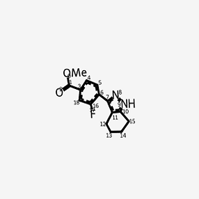 COC(=O)c1ccc(-c2n[nH]c3c2CCCC3)c(F)c1